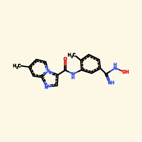 Cc1ccn2c(C(=O)Nc3cc(C(=N)NO)ccc3C)cnc2c1